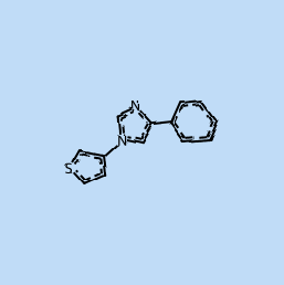 c1ccc(-c2cn(-c3ccsc3)cn2)cc1